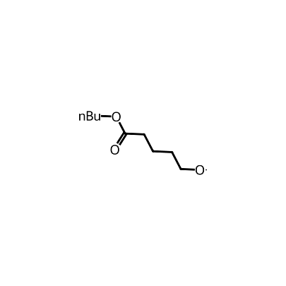 CCCCOC(=O)CCCC[O]